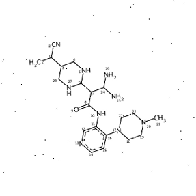 CC(C#N)C1CNC(C(C(=O)Nc2cnccc2N2CCN(C)CC2)C(N)N)NC1